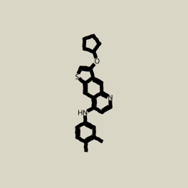 Cc1ccc(Nc2ccnc3cc4c(OC5CCCC5)csc4cc23)cc1C